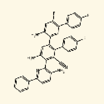 N#Cc1c(-c2nc(-c3ccccc3)ccc2N)c(N)[c]c(-c2cc(-c3ccc(F)cc3)c(F)cc2N)c1-c1ccc(F)cc1